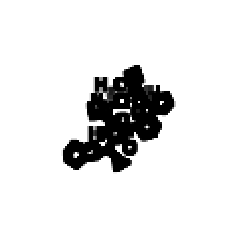 Cn1nccc1C(=O)N[C@H](C(=O)Nc1cccc(C2(C(=O)NCC3(C)CCC3)CCCC2)c1)C(C1CC1)C1Cc2ccccc2C1